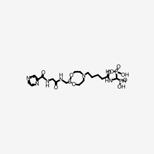 O=C(CNC(=O)c1cnccn1)NCB1OCCN(CCCCC(=O)NC([PH](=O)O)P(=O)(O)O)CCO1